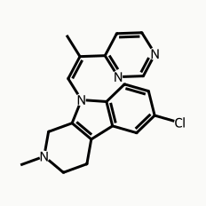 C/C(=C/n1c2c(c3cc(Cl)ccc31)CCN(C)C2)c1ccncn1